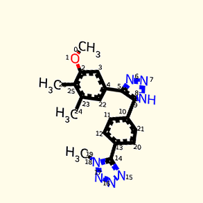 COc1cc(-c2nn[nH]c2-c2ccc(-c3nnnn3C)cc2)cc(C)c1C